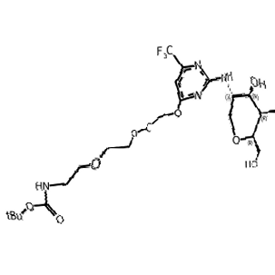 CC(C)(C)OC(=O)NCCOCCOCCOc1cc(C(F)(F)F)nc(N[C@H]2CO[C@H](CO)[C@H](O)[C@@H]2O)n1